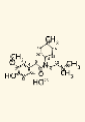 COc1cc(CC(=O)N(CCN(C)C)C2CCC(C)CC2)ccc1O.Cl